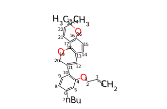 C=CCOc1cc(CCCC)ccc1C1=Cc2ccc3c(c2OC1)C=CC(C)(C)O3